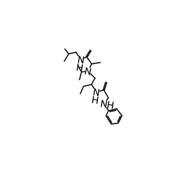 C=C(CNc1ccccc1)NC(CC)CN(C(C)C)C(C)C(=C)NCC(C)C